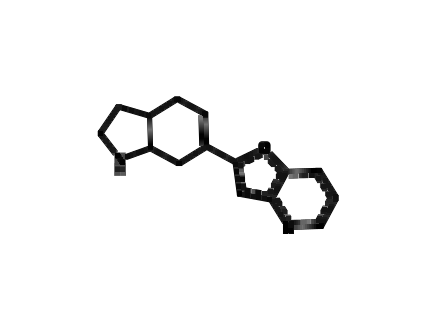 C1=C(c2cc3ncccc3o2)CC2NCCC2C1